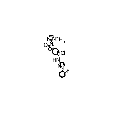 Cl.Cn1ccnc1N1C[C@]2(CC[C@@H](CNc3ccn(-c4ccccc4F)n3)CC2)OC1=O